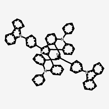 c1ccc(N2c3ccccc3C3(c4ccccc42)c2cc(-c4ccc(-n5c6ccccc6c6ccccc65)cc4)sc2C2(c4ccccc4N(c4ccccc4)c4ccccc42)c2cc(-c4ccc(-n5c6ccccc6c6ccccc65)cc4)sc23)cc1